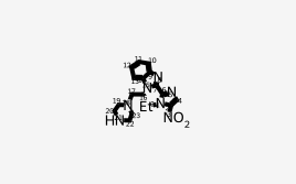 CCn1c([N+](=O)[O-])cnc1-c1nc2ccccc2n1CCN1CCNCC1